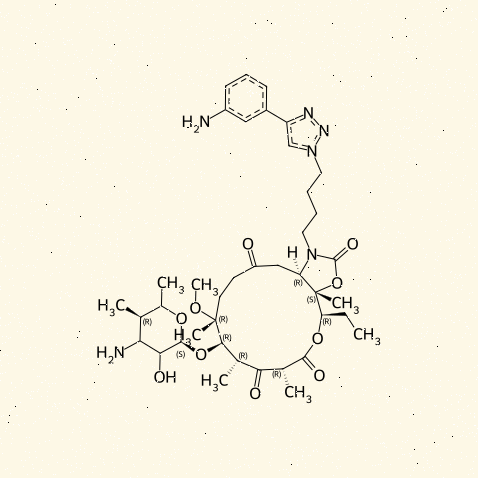 CC[C@H]1OC(=O)[C@H](C)C(=O)[C@H](C)[C@@H](O[C@@H]2OC(C)[C@H](C)C(N)C2O)[C@](C)(OC)CCC(=O)C[C@H]2N(CCCCn3cc(-c4cccc(N)c4)nn3)C(=O)O[C@]12C